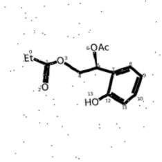 CCC(=O)OC[C@@H](OC(C)=O)c1ccccc1O